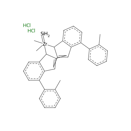 CC1=Cc2c(-c3ccccc3C)cccc2[CH]1[Zr]([CH3])([CH3])(=[SiH2])[CH]1C(C)=Cc2c(-c3ccccc3C)cccc21.Cl.Cl